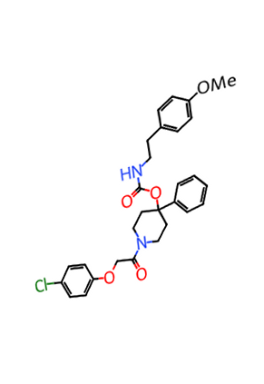 COc1ccc(CCNC(=O)OC2(c3ccccc3)CCN(C(=O)COc3ccc(Cl)cc3)CC2)cc1